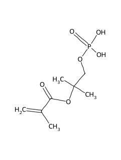 C=C(C)C(=O)OC(C)(C)COP(=O)(O)O